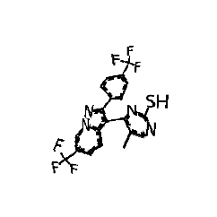 Cc1cnc(S)nc1-c1c(-c2ccc(C(F)(F)F)cc2)nn2cc(C(F)(F)F)ccc12